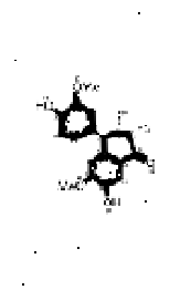 COc1cc([C@@H]2c3cc(OC)c(O)cc3C(=O)[C@@H](C)[C@H]2C)ccc1O